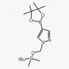 CC1(C)OB(c2cnn(CO[Si](C)(C)C(C)(C)C)c2)OC1(C)C